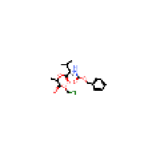 CC(OC(=O)[C@@H](NC(=O)OCc1ccccc1)C(C)C)C(=O)OCCl